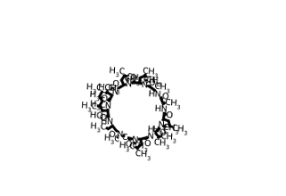 CCCCC(C)C(O)C1C(=O)NC(CC)C(=O)N(C)CC(=O)N(C)C(CC(C)C)C(=O)NC(C(C)C)C(=O)N(C)C(CC(C)C)C(=O)NC(C)C(=O)NC(C)C(=O)N(C)C(CC(C)C)C(=O)N(C)C(CC(C)C)C(=O)N(C)C(C(C)C)C(=O)N1C